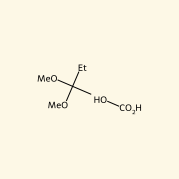 CCC(C)(OC)OC.O=C(O)O